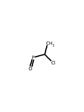 CC(Cl)P=O